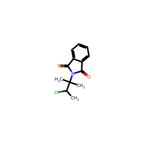 CC(Cl)C(C)(C)N1C(=O)c2ccccc2C1=S